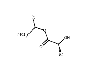 CCC(OC(=O)[C@@H](O)CC)C(=O)O